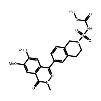 COc1cc2c(-c3ccc4c(c3)CCN(S(=O)(=O)NC(=O)OC(C)(C)C)C4)nn(C)c(=O)c2cc1OC